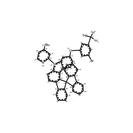 [2H]C([2H])([2H])c1cc(Br)cc(Oc2ccc3c4c5c(ccc4n(-c4cc(C(C)(C)C)ccn4)c3c2)-c2ccccc2C52c3ccccc3-c3ccccc32)c1